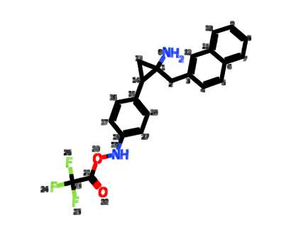 NC1(Cc2ccc3ccccc3c2)CC1c1ccc(NOC(=O)C(F)(F)F)cc1